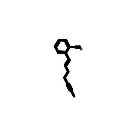 CC#CCC/C=C/c1ccccc1[N+](=O)[O-]